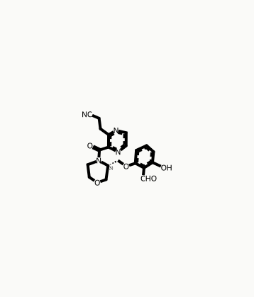 N#CCCc1nccnc1C(=O)N1CCOC[C@H]1COc1cccc(O)c1C=O